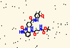 COc1cc(NC(=O)C2CCC(n3c(=O)[nH]c4cccc(NC(=O)CCNC(=O)OC(C)(C)C)c43)CC2)ccc1C